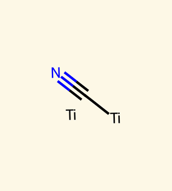 N#[C][Ti].[Ti]